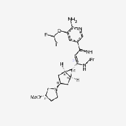 CO[C@H]1CCN([C@H]2C[C@@H]3[C@H](C2)[C@H]3/C(=C/C(=N)c2cnc(N)c(OC(F)F)c2)NC(C)C)C1